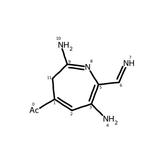 CC(=O)C1=CC(N)=C(C=N)N=C(N)C1